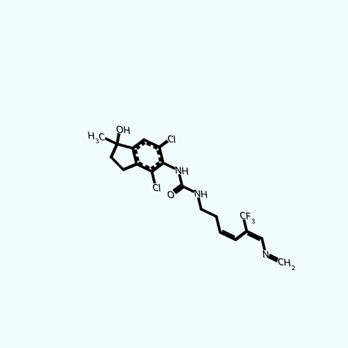 C=N/C=C(\C=C/CCNC(=O)Nc1c(Cl)cc2c(c1Cl)CCC2(C)O)C(F)(F)F